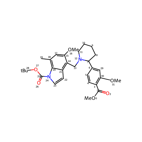 COC(=O)c1ccc(C2CCCCN2Cc2c(OC)cc(C)c3c2ccn3C(=O)OC(C)(C)C)cc1OC